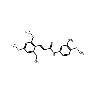 COc1cc(OC)c(/C=C/C(=O)Nc2ccc(OC)c(N)c2)c(OC)c1